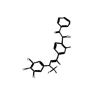 Cc1cc(/C(F)=C/C(c2cc(Cl)c(Cl)c(Cl)c2)C(C)(F)F)ccc1C(O)C(=O)c1ccccc1